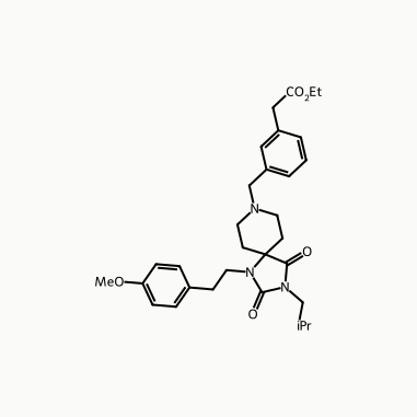 CCOC(=O)Cc1cccc(CN2CCC3(CC2)C(=O)N(CC(C)C)C(=O)N3CCc2ccc(OC)cc2)c1